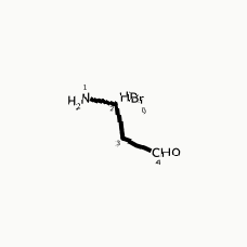 Br.NCCC=O